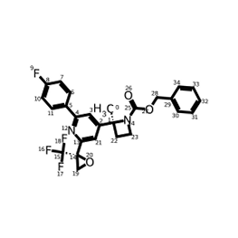 C[C@@]1(c2cc(-c3ccc(F)cc3)nc([C@]3(C(F)(F)F)CO3)c2)CCN1C(=O)OCc1ccccc1